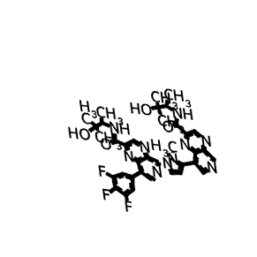 CC(NC(=O)c1cnc2cncc(-c3cc(F)c(F)c(F)c3)c2n1)C(C)(C)O.CC(NC(=O)c1cnc2cncc(-c3ccnn3C)c2n1)C(C)(C)O